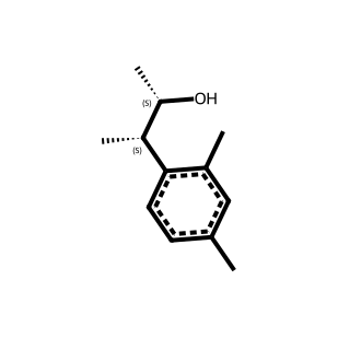 Cc1ccc([C@H](C)[C@H](C)O)c(C)c1